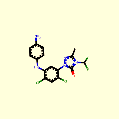 Cc1nn(-c2cc(Nc3ccc(N)cc3)c(Cl)cc2Cl)c(=O)n1C(F)F